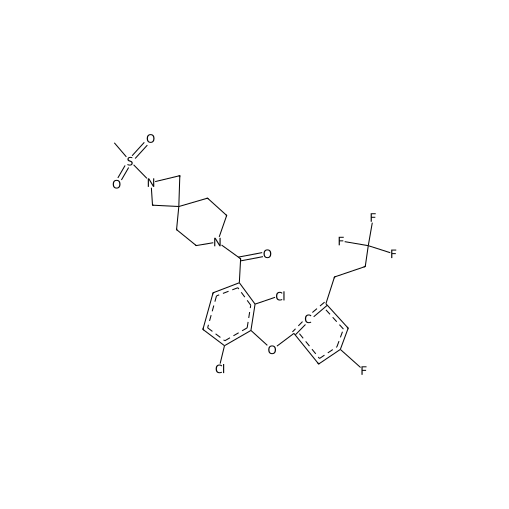 CS(=O)(=O)N1CC2(CCN(C(=O)c3ccc(Cl)c(Oc4cc(F)cc(CCC(F)(F)F)c4)c3Cl)CC2)C1